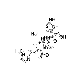 Cn1cnnc1SCC1=C(C(=O)[O-])N2C(=O)C(NC(=O)/C(=N\O)c3csc(=N)[nH]3)[C@H]2SC1.[Na+]